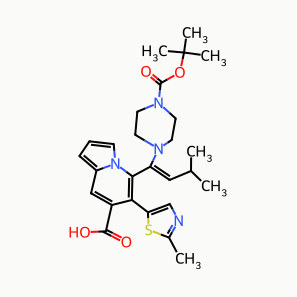 Cc1ncc(-c2c(C(=O)O)cc3cccn3c2C(=CC(C)C)N2CCN(C(=O)OC(C)(C)C)CC2)s1